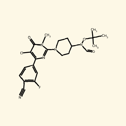 Cn1c(N2CCC(N(C=O)OC(C)(C)C)CC2)nc(-c2ccc(C#N)c(F)c2)c(Cl)c1=O